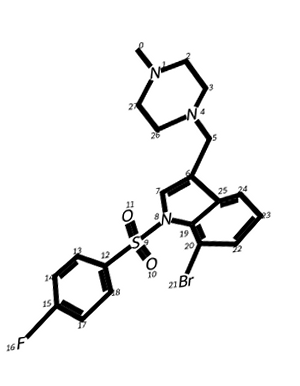 CN1CCN(Cc2cn(S(=O)(=O)c3ccc(F)cc3)c3c(Br)cccc23)CC1